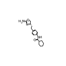 NC1=N[C@@H](CCc2ccc(NC(=O)C3CCCCC3)cc2)CO1